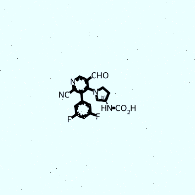 N#Cc1ncc(C=O)c(N2CC[C@H](NC(=O)O)C2)c1-c1cc(F)cc(F)c1